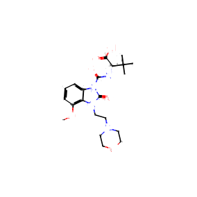 COc1cccc2c1n(CCN1CCOCC1)c(=O)n2C(=O)N[C@H](C(=O)O)C(C)(C)C